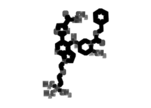 CNC(=O)c1coc(-c2cnc3c(ccn3COCC[Si](C)(C)C)c2N[C@@H]2CC[C@H](C)N(C(=O)OCc3ccccc3)C2)n1